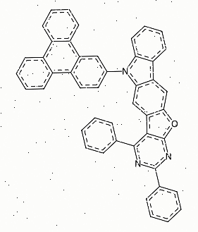 c1ccc(-c2nc(-c3ccccc3)c3c(n2)oc2cc4c5ccccc5n(-c5ccc6c7ccccc7c7ccccc7c6c5)c4cc23)cc1